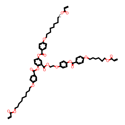 C=CC(=O)OCCCCCCCCCOc1ccc(C(=O)Oc2ccc(OC(=O)c3ccc(OCCCCCCCCCOC(=O)C=C)cc3)c(C(=O)OCCOc3ccc(OC(=O)c4ccc(OCCCCCCOC(=O)C=C)cc4)cc3)c2)cc1